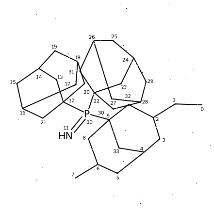 CCC1CC2CC(C)CC(P(=N)(C34CC5CC(CC(C5)C3)C4)C34CC5CC(CC(C5)C3)C4)(C1)C2